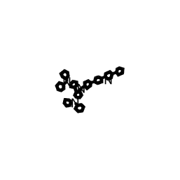 c1ccc(-c2ccc(-c3ccc(-c4ccc(-n5c6ccc(N(c7ccccc7)c7ccccc7)cc6c6cc(N(c7ccccc7)c7ccccc7)ccc65)cc4)cc3)nc2)cc1